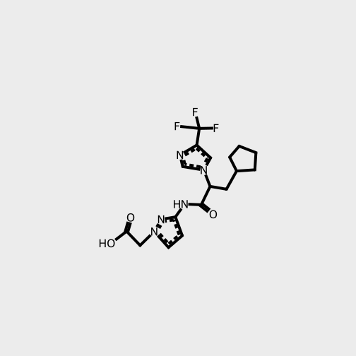 O=C(O)Cn1ccc(NC(=O)C(CC2CCCC2)n2cnc(C(F)(F)F)c2)n1